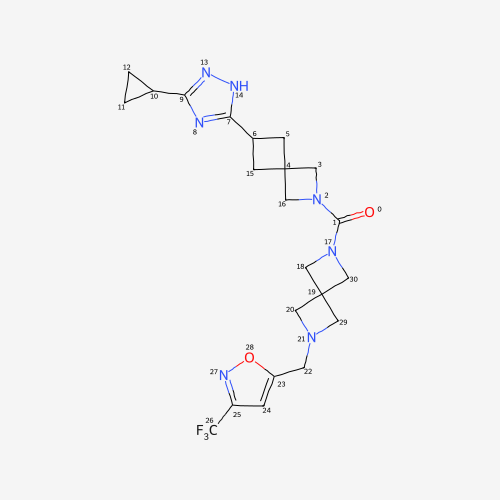 O=C(N1CC2(CC(c3nc(C4CC4)n[nH]3)C2)C1)N1CC2(CN(Cc3cc(C(F)(F)F)no3)C2)C1